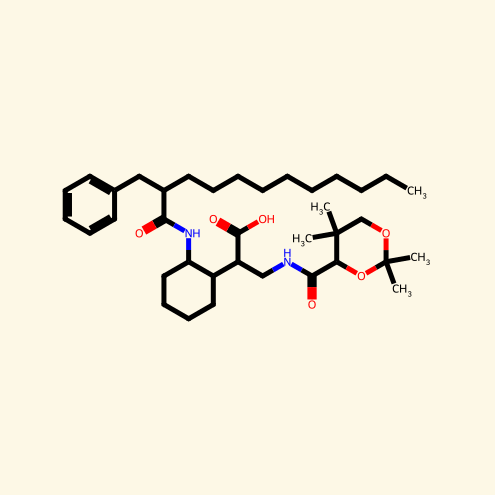 CCCCCCCCCCC(Cc1ccccc1)C(=O)NC1CCCCC1C(CNC(=O)C1OC(C)(C)OCC1(C)C)C(=O)O